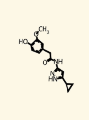 COc1cc(CC(=O)Nc2cc(C3CC3)[nH]n2)ccc1O